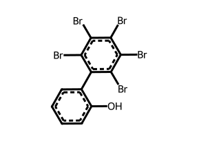 Oc1ccccc1-c1c(Br)c(Br)c(Br)c(Br)c1Br